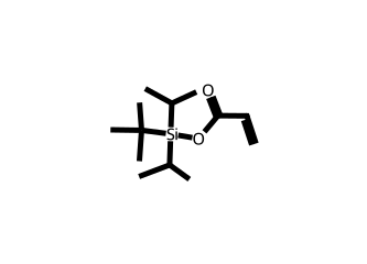 C=CC(=O)O[Si](C(C)C)(C(C)C)C(C)(C)C